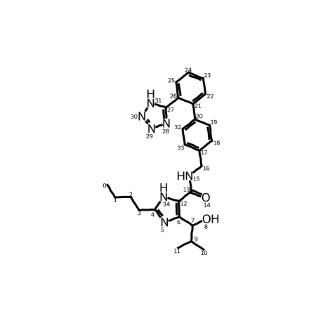 CCCCc1nc(C(O)C(C)C)c(C(=O)NCc2ccc(-c3ccccc3-c3nnn[nH]3)cc2)[nH]1